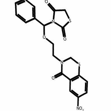 O=C1c2cc([N+](=O)[O-])ccc2SCN1CCOC(c1ccccc1)N1C(=O)CSC1=O